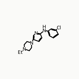 CCN1CCN(c2ccc(Nc3cccc(Cl)c3)nc2)CC1